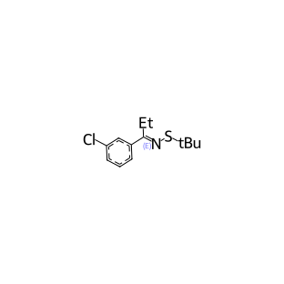 CC/C(=N\SC(C)(C)C)c1cccc(Cl)c1